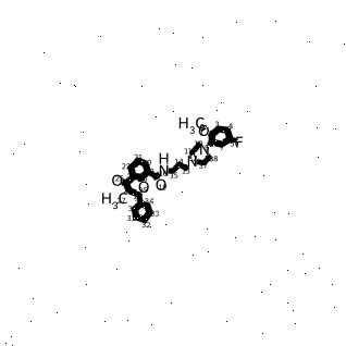 COc1ccc(F)cc1N1CCN(CCCNC(=O)c2cccc3c(=O)c(C)c(-c4ccccc4)oc23)CC1